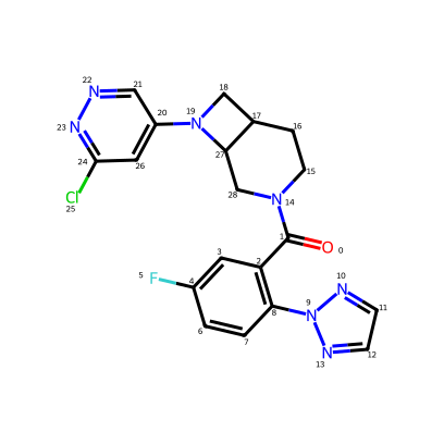 O=C(c1cc(F)ccc1-n1nccn1)N1CCC2CN(c3cnnc(Cl)c3)C2C1